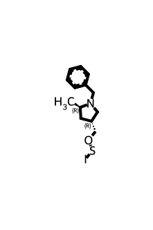 C[C@@H]1C[C@@H](COSI)CN1Cc1ccccc1